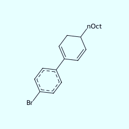 CCCCCCCCC1C=CC(c2ccc(Br)cc2)=CC1